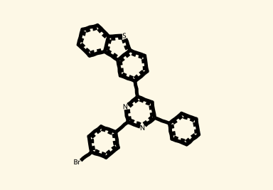 Brc1ccc(-c2nc(-c3ccccc3)cc(-c3ccc4sc5ccccc5c4c3)n2)cc1